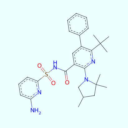 CC1CN(c2nc(C(C)(C)C)c(-c3ccccc3)cc2C(=O)NS(=O)(=O)c2cccc(N)n2)C(C)(C)C1